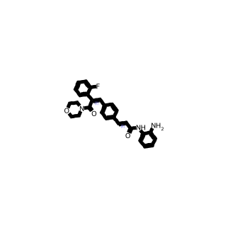 Nc1ccccc1NC(=O)/C=C/c1ccc(/C=C(\C(=O)N2CCOCC2)c2ccccc2F)cc1